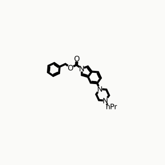 CCCN1CCN(c2ccc3cn(C(=O)OCc4ccccc4)cc3c2)CC1